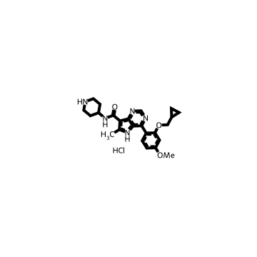 COc1ccc(-c2ncnc3c(C(=O)NC4CCNCC4)c(C)[nH]c23)c(OCC2CC2)c1.Cl